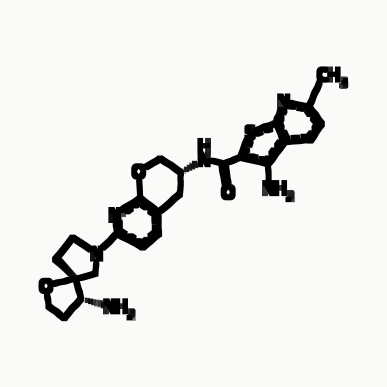 Cc1ccc2c(N)c(C(=O)N[C@H]3COc4nc(N5CC[C@]6(C5)OCC[C@H]6N)ccc4C3)sc2n1